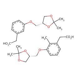 CC1(C)OC[C@@H](COc2cccc(CC(=O)O)c2)O1.Cc1c(CC(=O)O)cccc1OC[C@@H]1COC(C)(C)O1